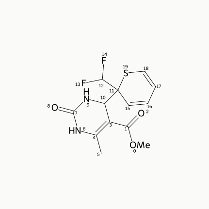 COC(=O)C1=C(C)NC(=O)NC1C1(C(F)F)C=CC=CS1